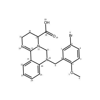 COc1ccc(Br)cc1CN1CN2C(=NCCC2C(=O)O)c2ccccc21